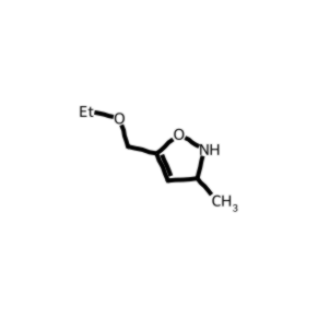 CCOCC1=CC(C)NO1